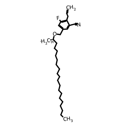 [CH2][C@H](CCCCCCCCCCCCCCCCCCC)OCc1cc(F)c(CC=C)c(C#N)c1